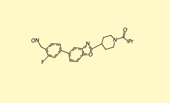 CC(C)C(=O)N1CCC(c2nc3cc(-c4ccc(CN=O)c(F)c4)ccc3o2)CC1